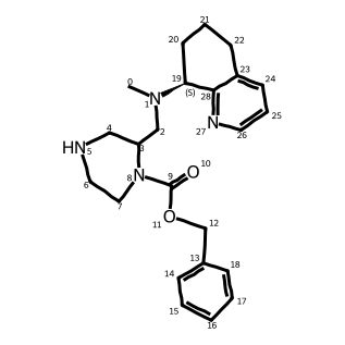 CN(CC1CNCCN1C(=O)OCc1ccccc1)[C@H]1CCCc2cccnc21